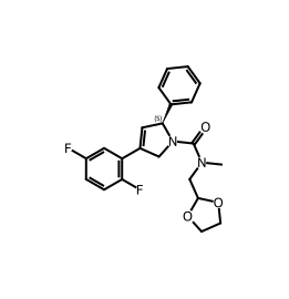 CN(CC1OCCO1)C(=O)N1CC(c2cc(F)ccc2F)=C[C@H]1c1ccccc1